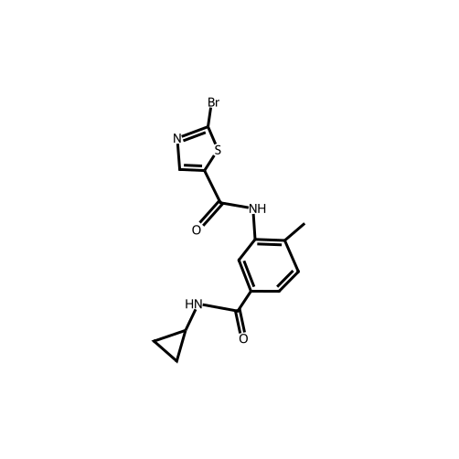 Cc1ccc(C(=O)NC2CC2)cc1NC(=O)c1cnc(Br)s1